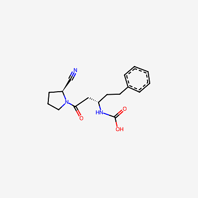 N#C[C@@H]1CCCN1C(=O)C[C@H](CCc1ccccc1)NC(=O)O